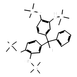 C[Si](C)(C)Nc1cc(C(c2ccccc2)(c2ccc(O[Si](C)(C)C)c(N[Si](C)(C)C)c2)C(F)(F)F)ccc1O[Si](C)(C)C